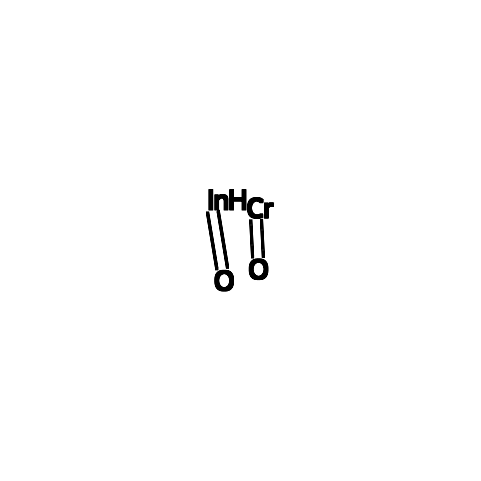 [O]=[Cr].[O]=[InH]